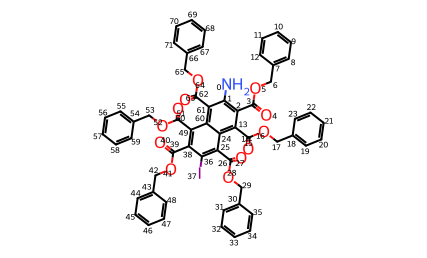 Nc1c(C(=O)OCc2ccccc2)c(C(=O)OCc2ccccc2)c2c(C(=O)OCc3ccccc3)c(I)c(C(=O)OCc3ccccc3)c(C(=O)OCc3ccccc3)c2c1C(=O)OCc1ccccc1